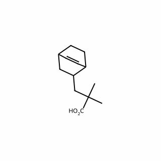 CC(C)(CC1CC2C=CC1CC2)C(=O)O